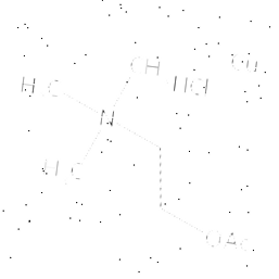 CC(=O)OCC[N+](C)(C)C.Cl.[Cu]